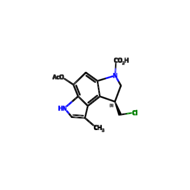 CC(=O)Oc1cc2c(c3c(C)c[nH]c13)[C@H](CCl)CN2C(=O)O